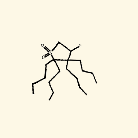 CCCCC1(CCCC)C(F)CS(=O)(=O)C1(CCCC)CCCC